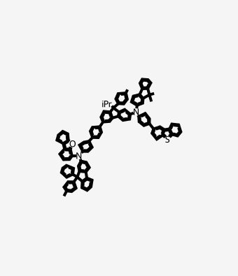 Cc1ccc(C2(c3ccccc3)c3ccccc3-c3ccc(N(c4ccc(-c5ccc(-c6ccc7c(c6)-c6ccc(N(c8ccc(-c9ccc%10sc%11ccccc%11c%10c9)cc8)c8ccc9c(c8)C(C)(C)c8ccccc8-9)cc6C7(c6ccc(C)cc6)C(C)C)cc5)cc4)c4cccc5c4oc4ccccc45)cc32)cc1